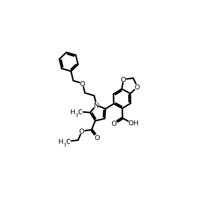 CCOC(=O)c1cc(-c2cc3c(cc2C(=O)O)OCO3)n(CCOCc2ccccc2)c1C